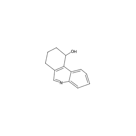 OC1CCCc2cnc3ccccc3c21